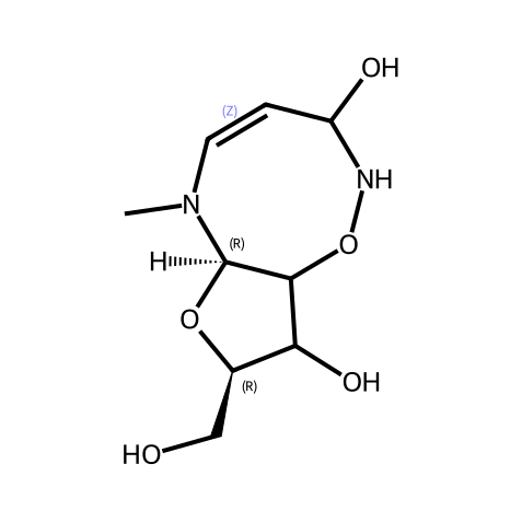 CN1/C=C\C(O)NOC2C(O)[C@@H](CO)O[C@H]21